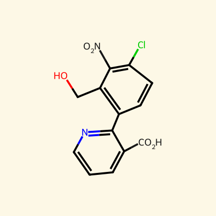 O=C(O)c1cccnc1-c1ccc(Cl)c([N+](=O)[O-])c1CO